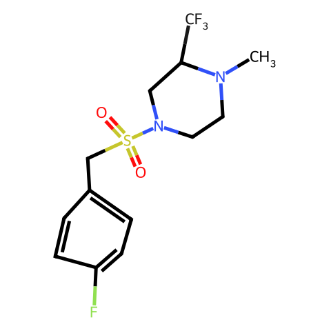 CN1CCN(S(=O)(=O)Cc2ccc(F)cc2)CC1C(F)(F)F